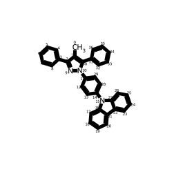 Cc1c(-c2ccccc2)nn(-c2ccc(-n3c4ccccc4c4ccccc43)cc2)c1-c1ccccc1